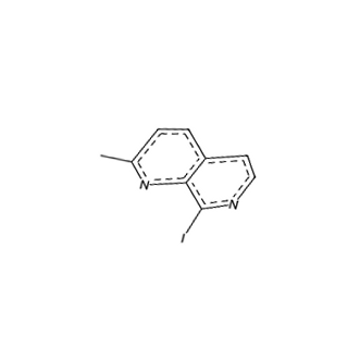 Cc1ccc2ccnc(I)c2n1